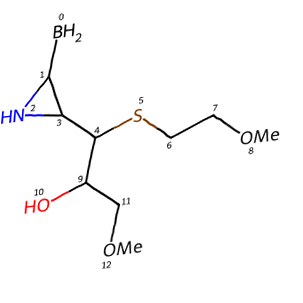 BC1NC1C(SCCOC)C(O)COC